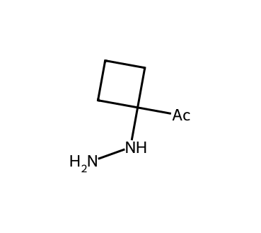 CC(=O)C1(NN)CCC1